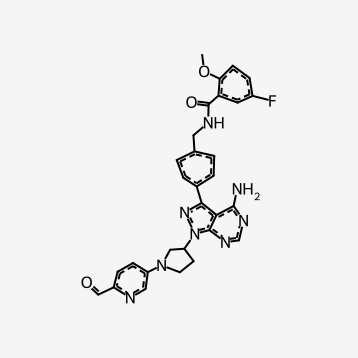 COc1ccc(F)cc1C(=O)NCc1ccc(-c2nn(C3CCN(c4ccc(C=O)nc4)C3)c3ncnc(N)c23)cc1